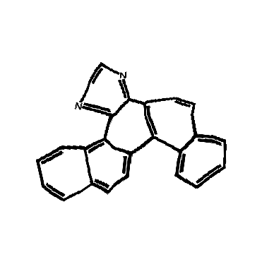 c1ccc2c(c1)ccc1c3nccnc3c3c4ccccc4ccc3c21